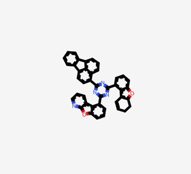 C1=Cc2c(oc3cccc(-c4nc(-c5ccc6c7c(cccc57)-c5ccccc5-6)nc(-c5cccc6oc7ncccc7c56)n4)c23)CC1